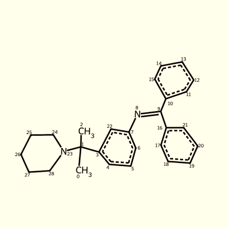 CC(C)(c1cccc(N=C(c2ccccc2)c2ccccc2)c1)N1CCCCC1